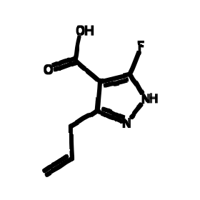 C=CCc1n[nH]c(F)c1C(=O)O